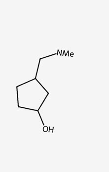 CNCC1CCC(O)C1